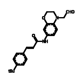 CC(C)(C)c1ccc(/C=C/C(=O)Nc2ccc3c(c2)OCCN3CC=O)cc1